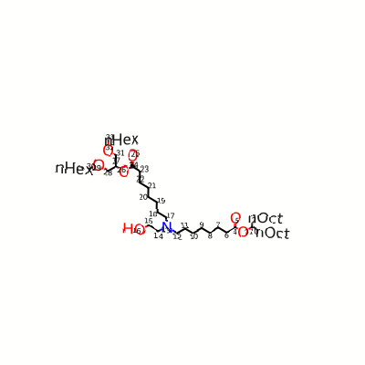 CCCCCCCCC(CCCCCCCC)OC(=O)CCCCCCCN(CCO)CCCCCCCC(=O)OC(COCCCCCC)COCCCCCC